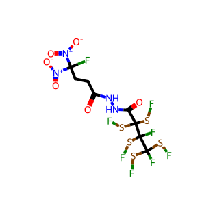 O=C(CCC(F)([N+](=O)[O-])[N+](=O)[O-])NNC(=O)C(SF)(SF)C(F)(SF)C(F)(SF)SF